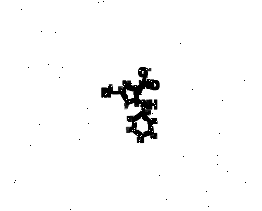 O=[N+]([O-])n1nc(Br)cc1Nc1ccccc1